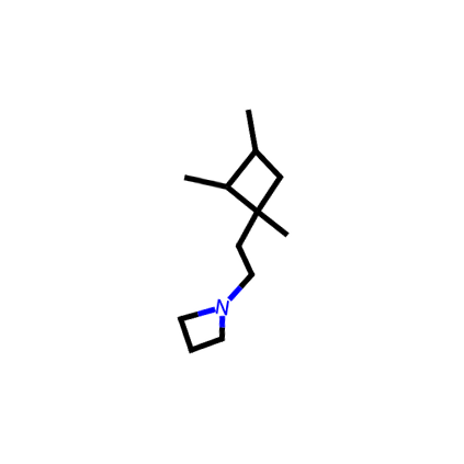 CC1CC(C)(CCN2CCC2)C1C